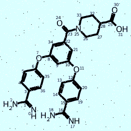 N=C(N)c1ccc(Oc2cc(Oc3ccc(C(=N)N)cc3)cc(C(=O)N3CCC(C(=O)O)CC3)c2)cc1